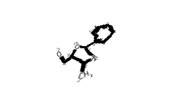 C=C1N=C(c2ccccc2)OC1C=O